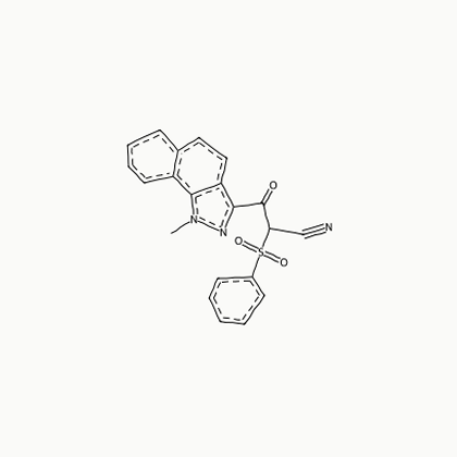 Cn1nc(C(=O)C(C#N)S(=O)(=O)c2ccccc2)c2ccc3ccccc3c21